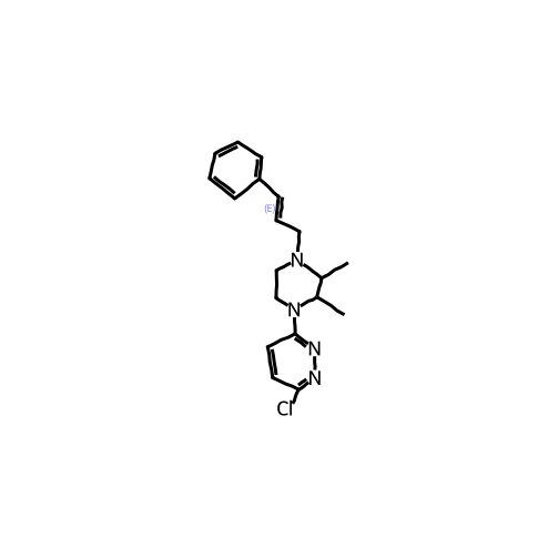 CC1C(C)N(c2ccc(Cl)nn2)CCN1C/C=C/c1ccccc1